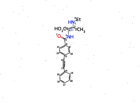 CCN/C(C)=C(/NC(=O)c1ccc(C#Cc2ccccc2)cc1)C(=O)O